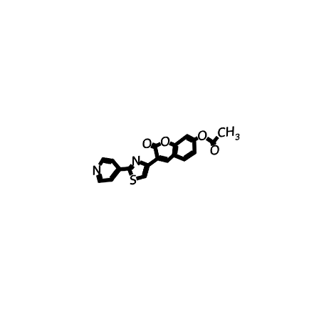 CC(=O)Oc1ccc2cc(-c3csc(-c4ccncc4)n3)c(=O)oc2c1